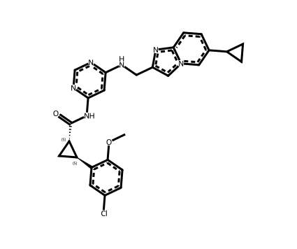 COc1ccc(Cl)cc1[C@H]1C[C@@H]1C(=O)Nc1cc(NCc2cn3cc(C4CC4)ccc3n2)ncn1